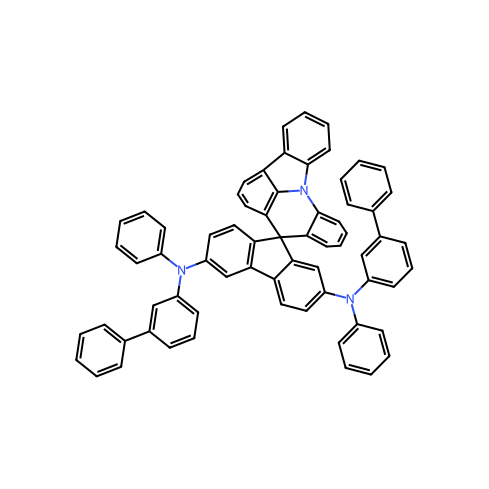 c1ccc(-c2cccc(N(c3ccccc3)c3ccc4c(c3)-c3ccc(N(c5ccccc5)c5cccc(-c6ccccc6)c5)cc3C43c4ccccc4-n4c5ccccc5c5cccc3c54)c2)cc1